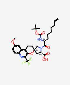 C=CCCCCC[C@H](NC(=O)OC(C)(C)C)C(=O)N1C[C@@]2(CCc3c(c(C(F)(F)F)nc4ccc(OC)cc34)O2)C[C@H]1C(=O)O